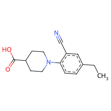 CCc1ccc(N2CCC(C(=O)O)CC2)c(C#N)c1